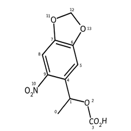 CC(OC(=O)O)c1cc2c(cc1[N+](=O)[O-])OCO2